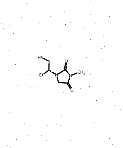 CCC(SS)N1CC(=O)N(C)C1=O